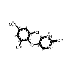 O=c1ncc(Oc2c(Cl)cc([N+](=O)[O-])cc2Cl)c[nH]1